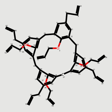 C=CCOc1c2cc(CC=C)cc1Cc1cc(CC=C)cc(c1OCC=C)Cc1cc(CC=C)cc(c1OCC=C)Cc1cc(CC=C)cc(c1OCC=C)C2